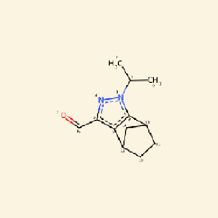 CC(C)n1nc(C=O)c2c1C1CCC2C1